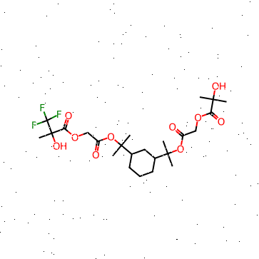 CC(C)(O)C(=O)OCC(=O)OC(C)(C)C1CCCC(C(C)(C)OC(=O)COC(=O)C(C)(O)C(F)(F)F)C1